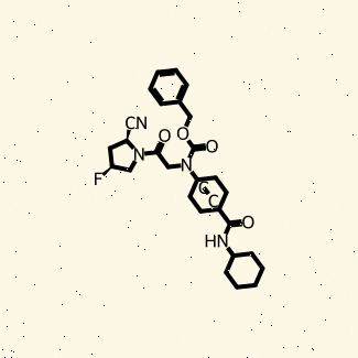 N#C[C@@H]1C[C@H](F)CN1C(=O)CN(C(=O)OCc1ccccc1)C12CCC(C(=O)NC3CCCCC3)(CC1)CC2